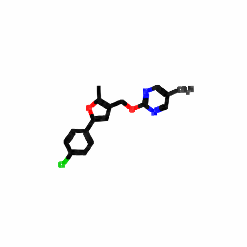 Cc1oc(-c2ccc(Cl)cc2)cc1COc1ncc(C(=O)O)cn1